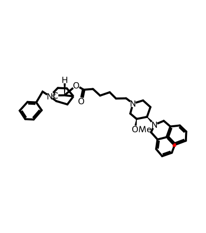 CO[C@H]1CN(CCCCCC(=O)O[C@H]2C[N+]3(Cc4ccccc4)CCC2CC3)CC[C@H]1N(Cc1ccccc1)Cc1ccccc1